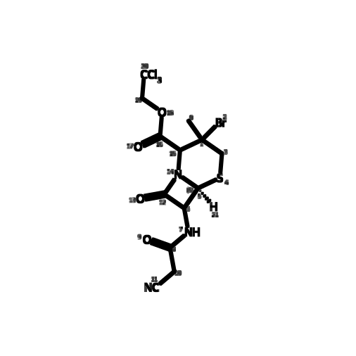 CC1(Br)CS[C@H]2C(NC(=O)CC#N)C(=O)N2C1C(=O)OCC(Cl)(Cl)Cl